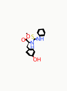 COC(=O)[C@H](Cc1ccc(O)cc1)NC(=S)Nc1ccccc1